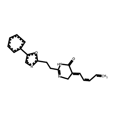 C=C/C=C\C=C1/CN=C(CCc2ncc(-c3ccccc3)o2)NC1=O